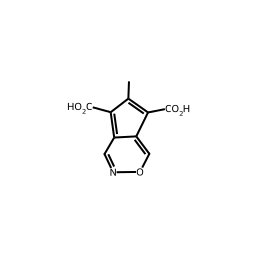 Cc1c(C(=O)O)c2cnocc-2c1C(=O)O